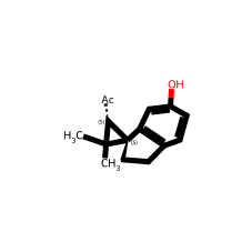 CC(=O)[C@H]1C(C)(C)[C@]12CCc1ccc(O)cc12